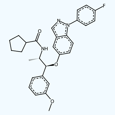 COc1cccc([C@H](Oc2ccc3c(cnn3-c3ccc(F)cc3)c2)[C@H](C)NC(=O)C2CCCC2)c1